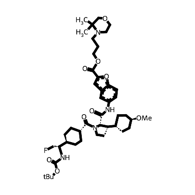 CO[C@H]1CC[C@H]([C@@H]2CCN(C(=O)[C@H]3CC[C@H]([C@@H](CF)NC(=O)OC(C)(C)C)CC3)[C@@H]2C(=O)Nc2ccc3oc(C(=O)OCCCN4CCOCC4(C)C)cc3c2)CC1